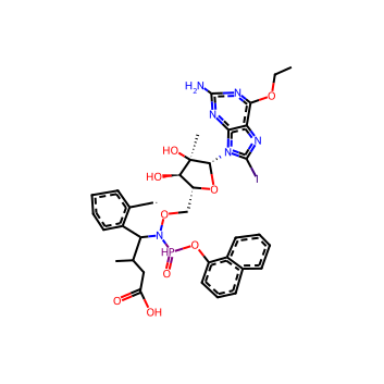 [CH2]c1ccccc1C(C(C)CC(=O)O)N(OC[C@H]1O[C@@H](n2c(I)nc3c(OCC)nc(N)nc32)[C@](C)(O)[C@@H]1O)[PH](=O)Oc1cccc2ccccc12